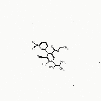 CCOC(=O)C1=CN(C([SeH])C(C)N)C(C)=C(C#N)C1c1cccc([N+](=O)[O-])c1